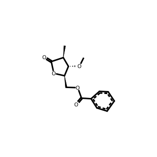 CO[C@H]1[C@H](C)C(=O)O[C@@H]1COC(=O)c1ccccc1